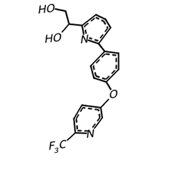 OCC(O)c1cccc(-c2ccc(Oc3ccc(C(F)(F)F)nc3)cc2)n1